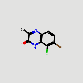 CCc1nc2ccc(Br)c(Cl)c2[nH]c1=O